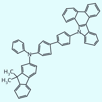 CC1(C)c2ccccc2-c2ccc(N(c3ccccc3)c3ccc(-c4ccc(-n5c6ccccc6c6c7ccccc7c7ccccc7c65)cc4)cc3)cc21